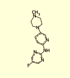 CN1CCN(c2ccc(Nc3ncc(F)cn3)nc2)CC1